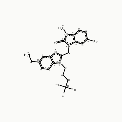 Cn1c(=O)n(Cc2nc3cc(CN)ccc3n2CCCC(F)(F)F)c2cc(F)ccc21